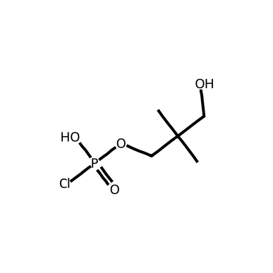 CC(C)(CO)COP(=O)(O)Cl